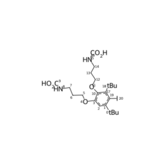 CC(C)(C)c1cc(OCCCNC(=O)O)c(OCCCNC(=O)O)c(C(C)(C)C)c1I